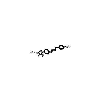 CCCCOc1ccc(C2CCC(/C=C/CCc3ccc(CCC)cc3)CC2)c(F)c1F